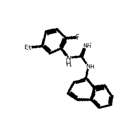 CCc1ccc(F)c(NC(=N)Nc2cccc3ccccc23)c1